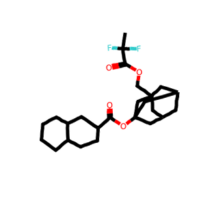 CC(F)(F)C(=O)OCC12CC3CC(C1)CC(OC(=O)C1CCC4CCCCC4C1)(C3)C2